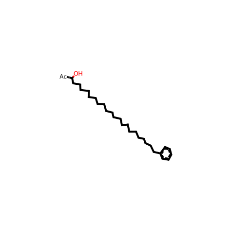 CC(=O)C(O)CCCCCCCCCCCCCCCCCCCCCc1ccccc1